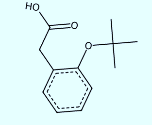 CC(C)(C)Oc1ccccc1CC(=O)O